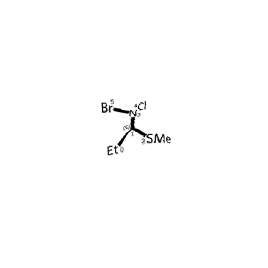 CC[C@H](SC)N(Cl)Br